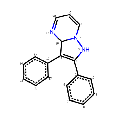 C1=CN2NC(c3ccccc3)=C(c3ccccc3)C2N=C1